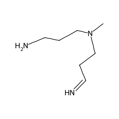 CN(CCC=N)CCCN